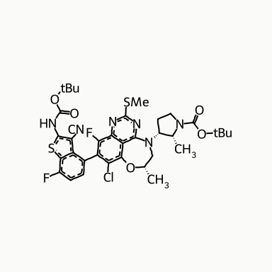 CSc1nc2c3c(c(Cl)c(-c4ccc(F)c5sc(NC(=O)OC(C)(C)C)c(C#N)c45)c(F)c3n1)O[C@@H](C)CN2[C@@H]1CCN(C(=O)OC(C)(C)C)[C@@H]1C